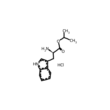 CC(C)OC(=O)[C@H](N)Cc1c[nH]c2ccccc12.Cl